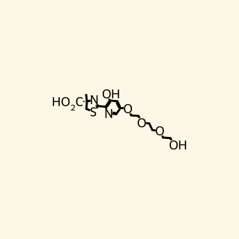 C[C@]1(C(=O)O)CSC(c2ncc(OCCOCCOCCO)cc2O)=N1